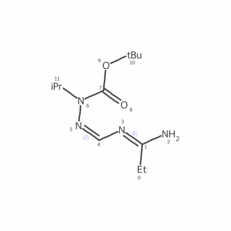 CC/C(N)=N\C=N/N(C(=O)OC(C)(C)C)C(C)C